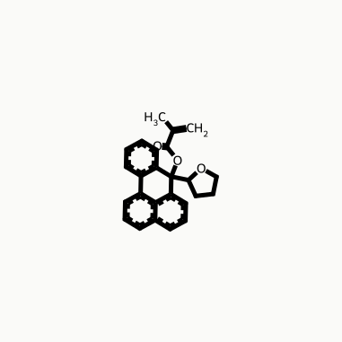 C=C(C)C(=O)OC1(C2CCCO2)c2ccccc2-c2cccc3cccc1c23